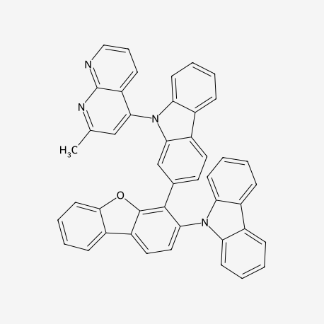 Cc1cc(-n2c3ccccc3c3ccc(-c4c(-n5c6ccccc6c6ccccc65)ccc5c4oc4ccccc45)cc32)c2cccnc2n1